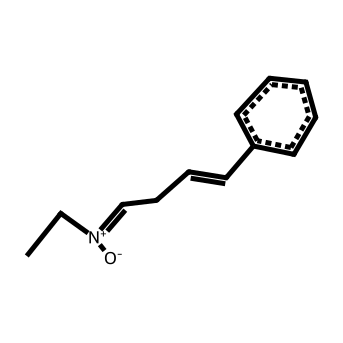 CC[N+]([O-])=CCC=Cc1ccccc1